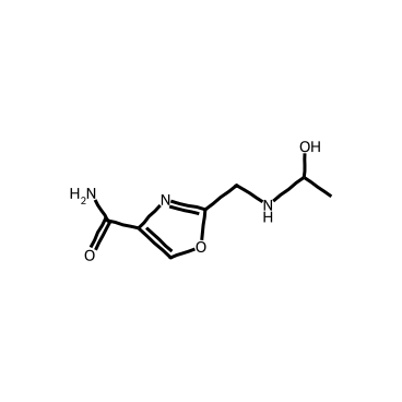 CC(O)NCc1nc(C(N)=O)co1